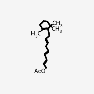 CC(=O)OCC=CC=CCC=CCC1=C(C)CCCC1(C)C